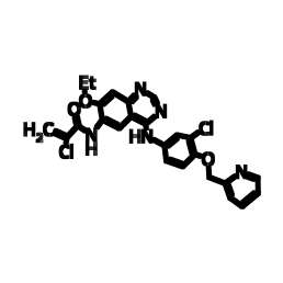 C=C(Cl)C(=O)Nc1cc2c(Nc3ccc(OCc4ccccn4)c(Cl)c3)ncnc2cc1OCC